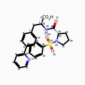 O=C(O)[C@H](Cc1ccc(-c2ccccn2)cc1)NC(=O)[C@@H]1CCCN1S(=O)(=O)c1ccccc1